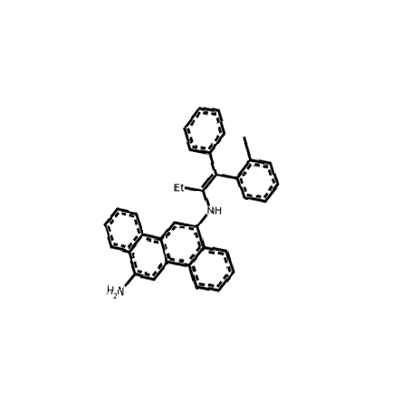 CC/C(Nc1cc2c3ccccc3c(N)cc2c2ccccc12)=C(\c1ccccc1)c1ccccc1C